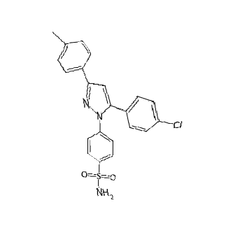 Cc1ccc(-c2cc(-c3ccc(Cl)cc3)n(-c3ccc(S(N)(=O)=O)cc3)n2)cc1